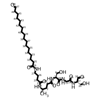 C[C@H](CCC(=O)N[C@@H](CO)C(=O)NCC(=O)N[C@H](C=O)CO)NC(=O)CCCNC(=O)CCCCCCCCCCCCCCCCC=O